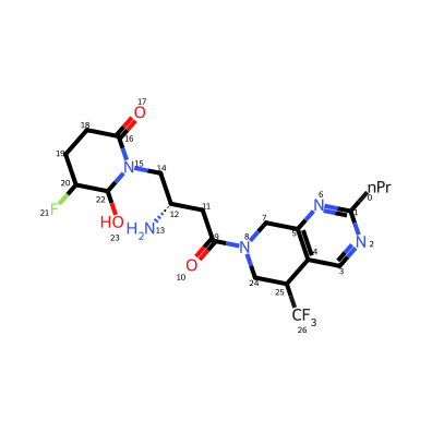 CCCc1ncc2c(n1)CN(C(=O)C[C@H](N)CN1C(=O)CCC(F)C1O)CC2C(F)(F)F